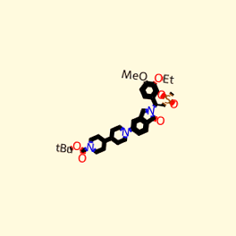 CCOc1cc([C@@H](CS(C)(=O)=O)N2Cc3cc(N4CCC(C5CCN(C(=O)OC(C)(C)C)CC5)CC4)ccc3C2=O)ccc1OC